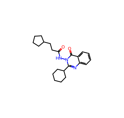 O=C(CCC1CCCC1)Nn1c(C2CCCCC2)nc2ccccc2c1=O